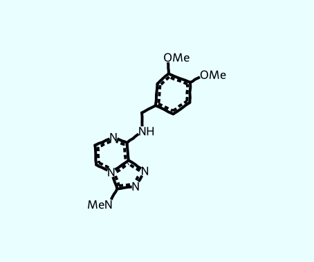 CNc1nnc2c(NCc3ccc(OC)c(OC)c3)nccn12